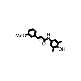 COc1cccc(/C=C/C(=O)Nc2cc(C)c(O)c(C)c2)c1